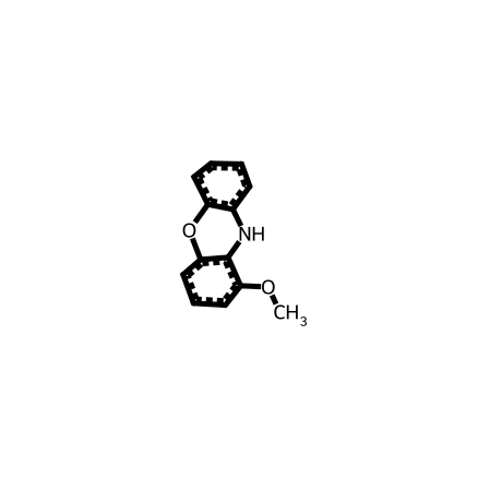 COc1cccc2c1Nc1ccccc1O2